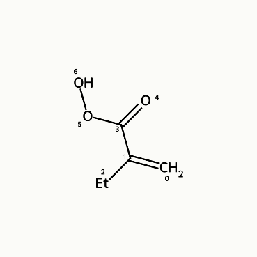 C=C(CC)C(=O)OO